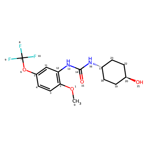 COc1ccc(OC(F)(F)F)cc1NC(=O)N[C@H]1CC[C@H](O)CC1